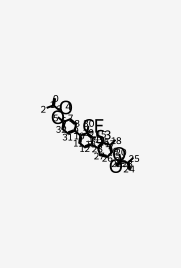 C=C(C)C(=O)Oc1ccc(-c2ccc3c(sc4c(C)c(OC(=O)C(=C)C)ccc43)c2C(F)(F)F)cc1